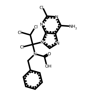 Nc1nc(Cl)nc2c1ncn2C(Cl)(C(Cl)Cl)N(Cc1ccccc1)C(=O)O